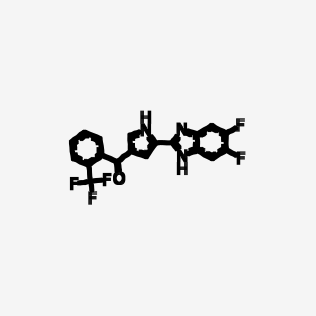 O=C(c1c[nH]c(-c2nc3cc(F)c(F)cc3[nH]2)c1)c1ccccc1C(F)(F)F